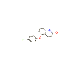 [O]c1ccc2c(Oc3ccc(Cl)cc3)cccc2n1